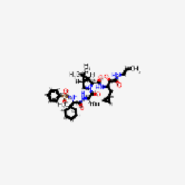 C=CCNC(=O)C(=O)C(CC1CC1)NC(=O)[C@@H]1[C@@H]2[C@H](CN1C(=O)[C@@H](NC(=O)[C@@H](NS(=O)(=O)c1ccccc1)C1(C)CCCCC1)C(C)(C)C)C2(C)C